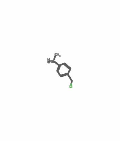 C[SiH](C)c1ccc(CCl)cc1